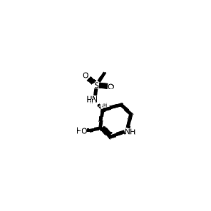 CS(=O)(=O)N[C@@H]1CCNC=C1O